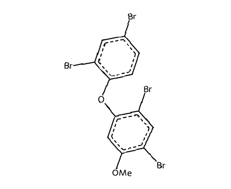 COc1cc(Oc2ccc(Br)cc2Br)c(Br)cc1Br